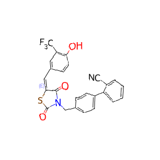 N#Cc1ccccc1-c1ccc(CN2C(=O)S/C(=C/c3ccc(O)c(C(F)(F)F)c3)C2=O)cc1